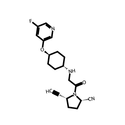 C#C[C@H]1CC[C@@H](C#N)N1C(=O)CN[C@H]1CC[C@H](Oc2cncc(F)c2)CC1